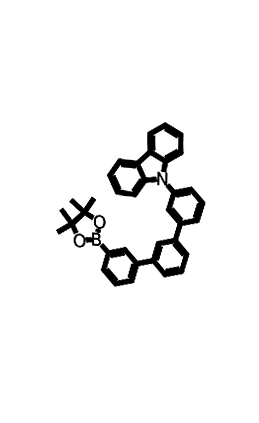 CC1(C)OB(c2cccc(-c3cccc(-c4cccc(-n5c6ccccc6c6ccccc65)c4)c3)c2)OC1(C)C